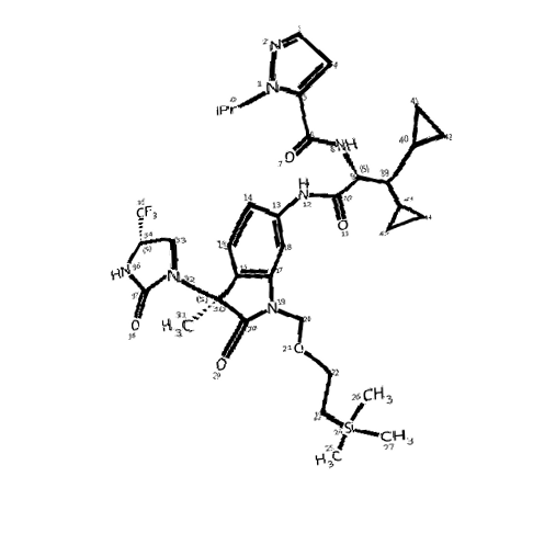 CC(C)n1nccc1C(=O)N[C@H](C(=O)Nc1ccc2c(c1)N(COCC[Si](C)(C)C)C(=O)[C@@]2(C)N1C[C@@H](C(F)(F)F)NC1=O)C(C1CC1)C1CC1